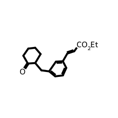 CCOC(=O)C=Cc1cccc(CC2CCCCC2=O)c1